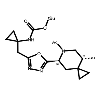 CC(=O)N1C[C@H](C)C2(CC2)C[C@H]1c1nnc(CC2(NC(=O)OC(C)(C)C)CC2)o1